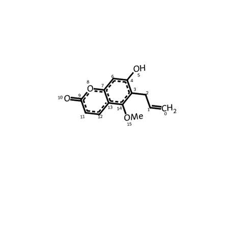 C=CCc1c(O)cc2oc(=O)ccc2c1OC